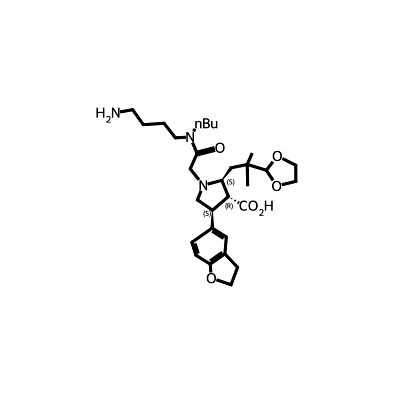 CCCCN(CCCCN)C(=O)CN1C[C@H](c2ccc3c(c2)CCO3)[C@@H](C(=O)O)[C@@H]1CC(C)(C)C1OCCO1